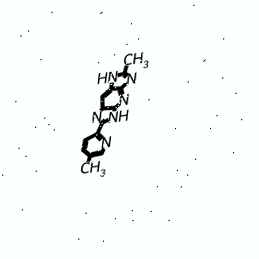 Cc1ccc(C2=NC3C=c4[nH]c(C)nc4=NC3N2)nc1